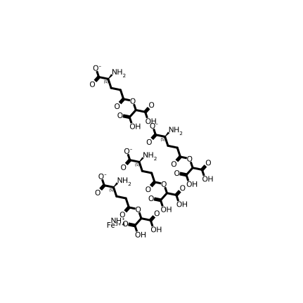 N[C@@H](CCC(=O)OC(C(=O)O)C(=O)O)C(=O)[O-].N[C@@H](CCC(=O)OC(C(=O)O)C(=O)O)C(=O)[O-].N[C@@H](CCC(=O)OC(C(=O)O)C(=O)O)C(=O)[O-].N[C@@H](CCC(=O)OC(C(=O)O)C(=O)O)C(=O)[O-].[Fe+3].[NH4+]